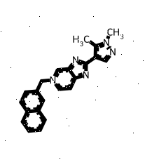 Cc1c(-c2nc3ccn(Cc4ccc5ccccc5c4)cc-3n2)cnn1C